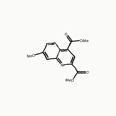 COC(=O)c1cc(C(=O)OC)c2ccc(OC)cc2n1